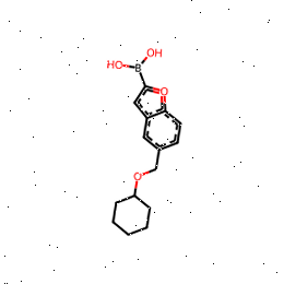 OB(O)c1cc2cc(COC3CCCCC3)ccc2o1